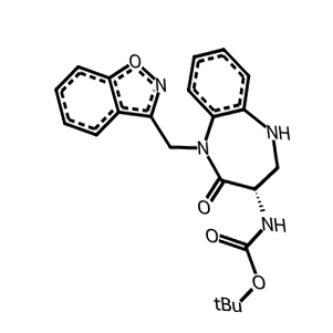 CC(C)(C)OC(=O)N[C@H]1CNc2ccccc2N(Cc2noc3ccccc23)C1=O